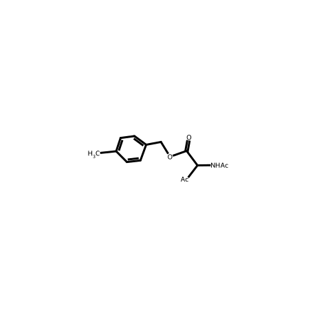 CC(=O)NC(C(C)=O)C(=O)OCc1ccc(C)cc1